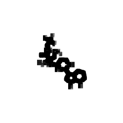 CCC(C)(NC1CCNC(C2CNC3NCCCC32)N1)C(=O)NCC(F)(F)F